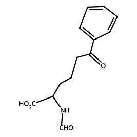 O=[C]NC(CCCC(=O)c1ccccc1)C(=O)O